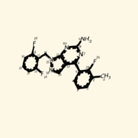 Cc1cccc(-c2nc(N)nc3c2cnn3Cc2c(F)cccc2F)c1F